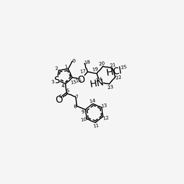 Cc1csc(C(=O)CCc2ccccc2)c1OC(C)C1CCCCN1.Cl